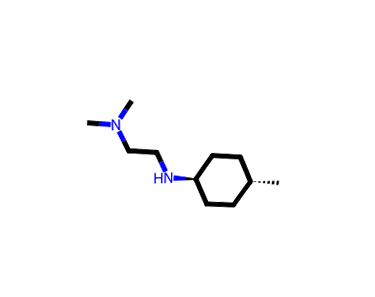 CN(C)CCN[C@H]1CC[C@H](C)CC1